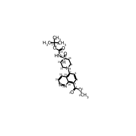 COC(=O)c1ccc(N2CC[SH](=O)(NC(=O)OC(C)(C)C)CC2)c2ccnnc12